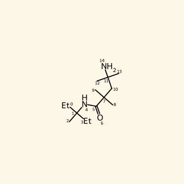 CCC(C)(CC)NC(=O)C(C)(C)CC(C)(C)N